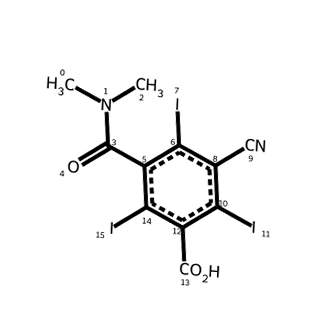 CN(C)C(=O)c1c(I)c(C#N)c(I)c(C(=O)O)c1I